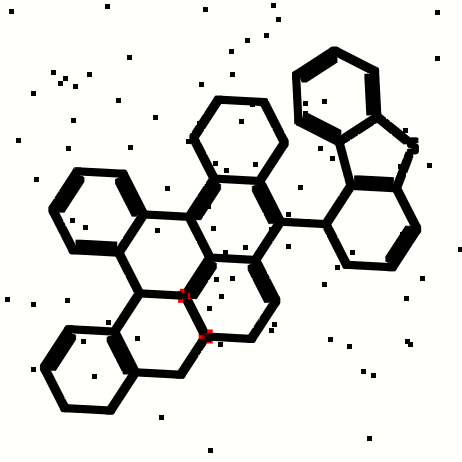 C1=CC2=C(CC1)CCCC2c1ccccc1-c1c2c(c(C3CC=Cc4sc5ccccc5c43)c3c1=CCCC=3)CCCC2